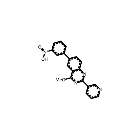 COc1nc(-c2cccnc2)nc2ccc(-c3cccc([N+](=O)O)c3)cc12